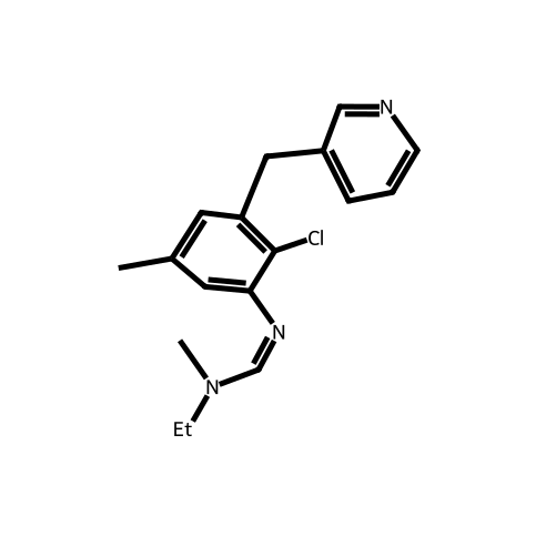 CCN(C)/C=N\c1cc(C)cc(Cc2cccnc2)c1Cl